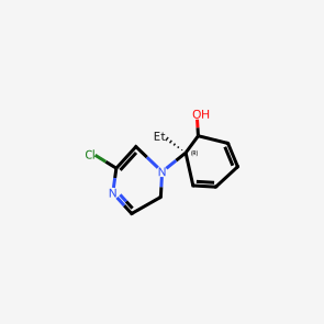 CC[C@@]1(N2C=C(Cl)N=CC2)C=CC=CC1O